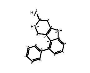 CC1Cc2[nH]c3cccc(-c4ccccc4)c3c2CN1